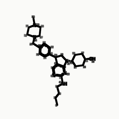 CCCCNc1ncc2c(n1)N([C@H]1CC[C@H](O)CC1)CC2c1ccc(CN2CCN(C)CC2)cc1